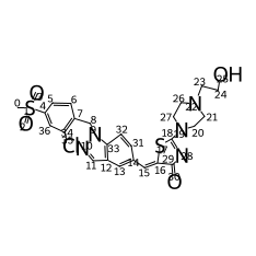 CS(=O)(=O)c1ccc(Cn2ncc3cc(/C=C4\SC(N5CCN(CCO)CC5)=NC4=O)ccc32)c(Cl)c1